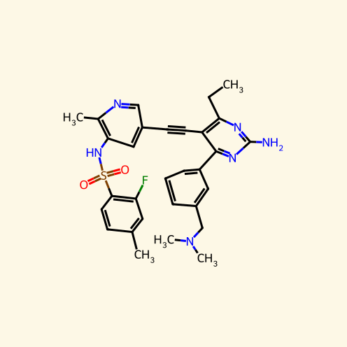 CCc1nc(N)nc(-c2cccc(CN(C)C)c2)c1C#Cc1cnc(C)c(NS(=O)(=O)c2ccc(C)cc2F)c1